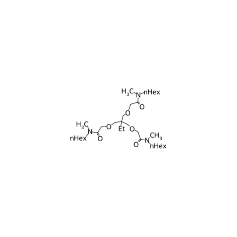 CCCCCCN(C)C(=O)COCC(CC)(COCC(=O)N(C)CCCCCC)COCC(=O)N(C)CCCCCC